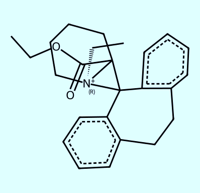 CCOC(=O)C12CCCC[N@+]1(CC)C21c2ccccc2CCc2ccccc21